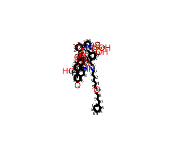 C[C@]12C=CC(=O)C=C1CC[C@@H]1[C@@H]2[C@@H](O)C[C@@]2(C)[C@H]1C[C@H]1O[C@@H](C3CCCCC3)O[C@]12C(=O)COC(=O)[C@@H]1CCC[N+]1(C)Cc1cc(C(O)CNCCCCCCOCCCCc2ccccc2)ccc1OP(=O)(O)O